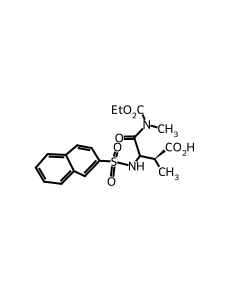 CCOC(=O)N(C)C(=O)C(NS(=O)(=O)c1ccc2ccccc2c1)[C@H](C)C(=O)O